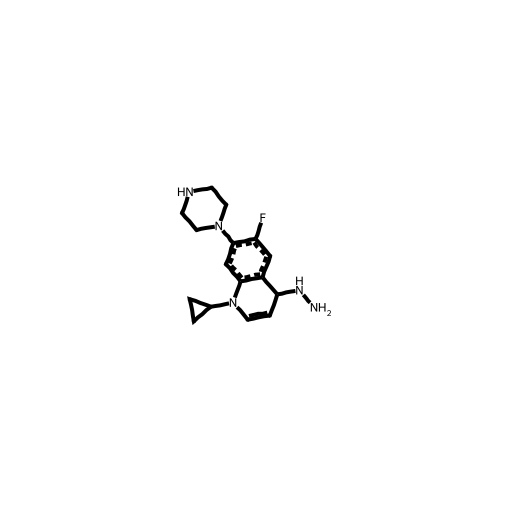 NNC1C=CN(C2CC2)c2cc(N3CCNCC3)c(F)cc21